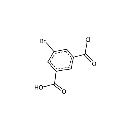 O=C(O)c1cc(Br)cc(C(=O)Cl)c1